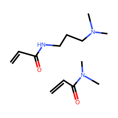 C=CC(=O)N(C)C.C=CC(=O)NCCCN(C)C